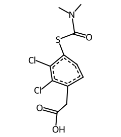 CN(C)C(=O)Sc1ccc(CC(=O)O)c(Cl)c1Cl